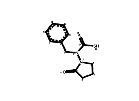 O=C1CCCN1N(Cc1ccccc1)C(=S)S